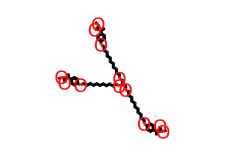 C=C(C(=O)OC)c1ccc(OCCCCCCCCCCCOCC(COCCCCCCCCCCCOc2ccc(C(=C)C(=O)OC)cc2)OCCCCCCCCCCCOc2ccc(C(=C)C(=O)OC)cc2)cc1